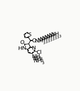 N.N.N.N.N.N.N.N.N.N.N.O=C1Nc2ccc(Cl)nc2C1C(=O)c1cccs1